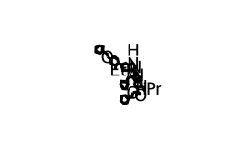 CCc1cc(OCc2ccccc2)ccc1-c1ccc2c(-c3nc4c(n3Cc3ccccc3)C[C@@H](C(=O)OCc3ccccc3)N(C(C)C)C4)n[nH]c2c1